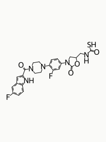 O=C(S)NCC1CN(c2ccc(N3CCN(C(=O)c4cc5cc(F)ccc5[nH]4)CC3)c(F)c2)C(=O)O1